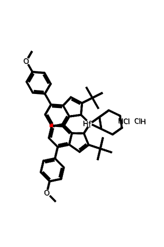 COc1ccc(-c2cccc3c2C=C(C(C)(C)C)[CH]3[Hf]2([CH]3C(C(C)(C)C)=Cc4c(-c5ccc(OC)cc5)cccc43)[CH]3CCCC[CH]32)cc1.Cl.Cl